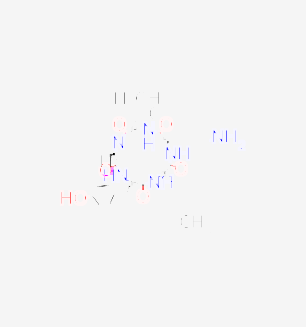 CCCCC[C@@H]1NC(=O)[C@@H](Cc2ccc(O)cc2)NC(=O)[C@@H]2CCCN2C(=O)[C@@H](CC(C)C)NC(=O)[C@H](CCCCN)NC1=O